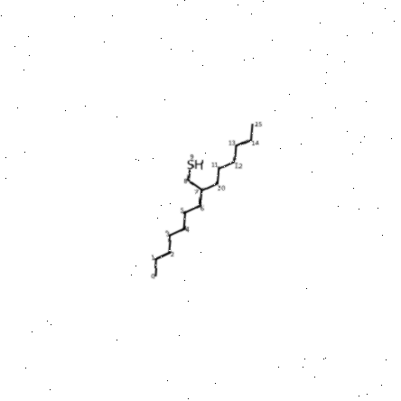 CCCCCCCC(CS)CCCCCC